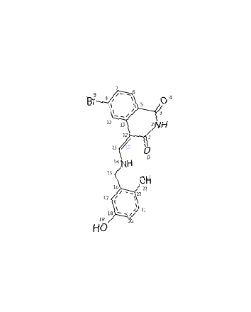 O=C1NC(=O)c2ccc(Br)cc2/C1=C/NCc1cc(O)ccc1O